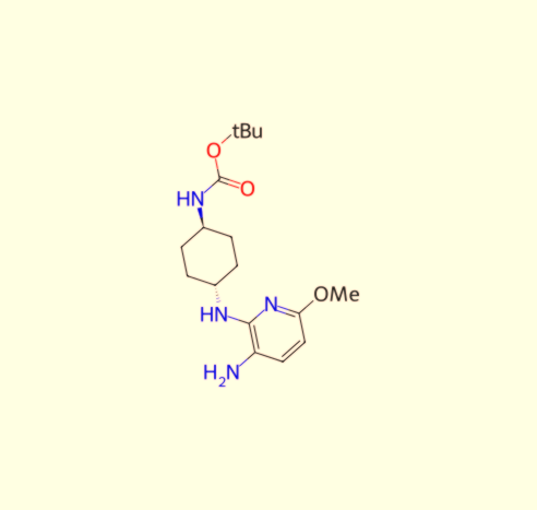 COc1ccc(N)c(N[C@H]2CC[C@H](NC(=O)OC(C)(C)C)CC2)n1